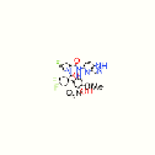 COc1ccc(C2(C(=O)N3C[C@H](F)C[C@@H]3C(=O)Nc3ccc4[nH]ncc4n3)CCC(F)(F)CC2)cc1.O=[N+]([O-])O